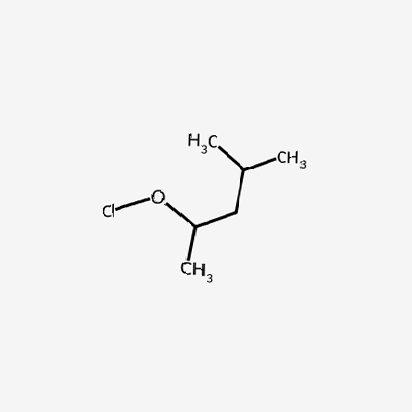 CC(C)CC(C)OCl